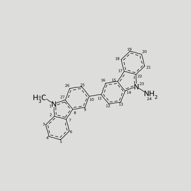 Cn1c2ccccc2c2cc(-c3ccc4c(c3)c3ccccc3n4N)ccc21